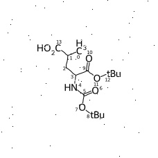 CC(CC(NC(=O)OC(C)(C)C)C(=O)OC(C)(C)C)C(=O)O